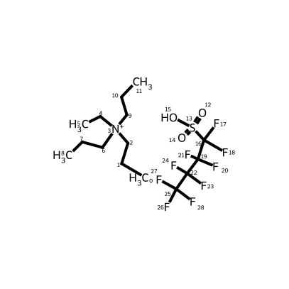 CCC[N+](CC)(CCC)CCC.O=S(=O)(O)C(F)(F)C(F)(F)C(F)(F)C(F)(F)F